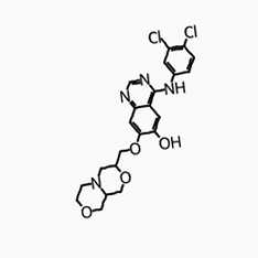 Oc1cc2c(Nc3ccc(Cl)c(Cl)c3)ncnc2cc1OCC1CN2CCOCC2CO1